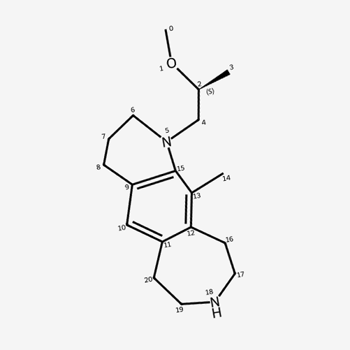 CO[C@@H](C)CN1CCCc2cc3c(c(C)c21)CCNCC3